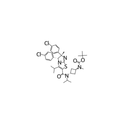 CC(C)C1=C(C(=O)N(C(C)C)[C@H]2C[C@H](N(C)C(=O)OC(C)(C)C)C2)SC2=N[C@@](C)(c3ccc(Cl)cc3)[C@@H](c3ccc(Cl)cc3)N21